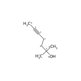 CC#CCCC(C)(C)O